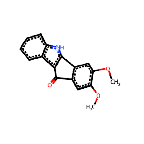 COc1cc2c(cc1OC)-c1[nH]c3ccccc3c1C2=O